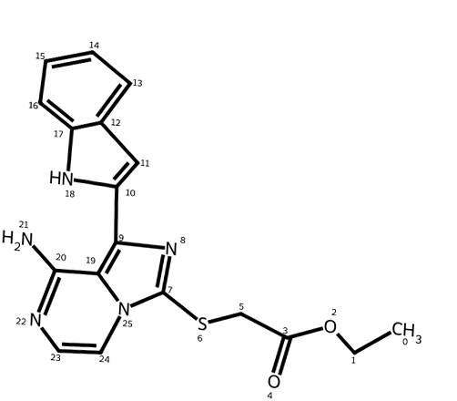 CCOC(=O)CSc1nc(-c2cc3ccccc3[nH]2)c2c(N)nccn12